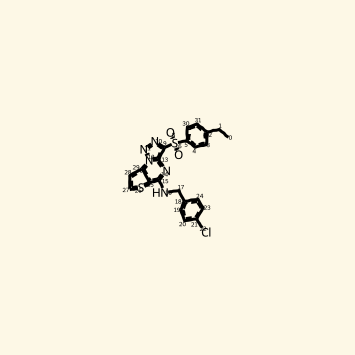 CCc1ccc(S(=O)(=O)c2nnn3c2nc(NCc2ccc(Cl)cc2)c2sccc23)cc1